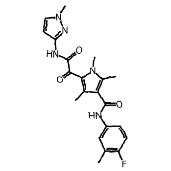 Cc1cc(NC(=O)c2c(C)c(C(=O)C(=O)Nc3ccn(C)n3)n(C)c2C)ccc1F